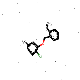 C=Cc1ccccc1COc1cc(C(F)(F)F)ccc1Cl